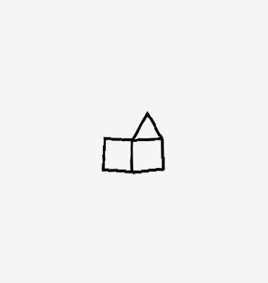 C1CC23CC2CC13